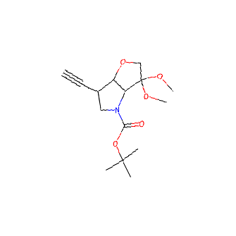 C#CC1CN(C(=O)OC(C)(C)C)C2C1OCC2(OC)OC